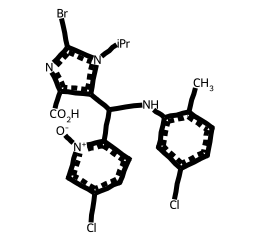 Cc1ccc(Cl)cc1NC(c1c(C(=O)O)nc(Br)n1C(C)C)c1ccc(Cl)c[n+]1[O-]